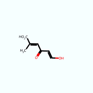 CC(=CC(=O)C=CO)C(=O)O